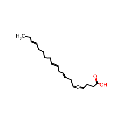 CCC=CCCCCC=CCC=CCC=C=CCCC(=O)O